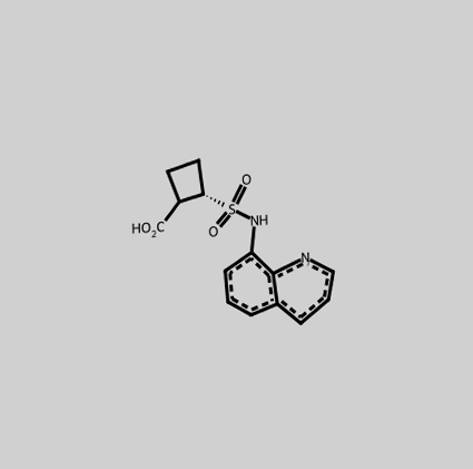 O=C(O)C1CC[C@@H]1S(=O)(=O)Nc1cccc2cccnc12